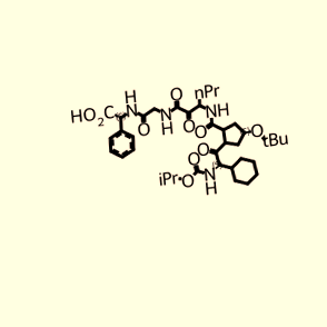 CCCC(NC(=O)C1C[C@@H](OC(C)(C)C)CC1C(=O)[C@@H](NC(=O)OC(C)C)C1CCCCC1)C(=O)C(=O)NCC(=O)N[C@H](C(=O)O)c1ccccc1